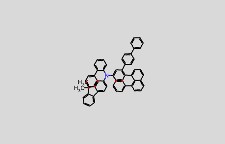 CC1(C)c2ccccc2-c2ccc(N(c3ccc(-c4cccc5cccc(-c6ccccc6)c45)c(-c4ccc(-c5ccccc5)cc4)c3)c3ccccc3-c3ccccc3)cc21